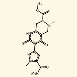 CNC(=O)c1cc(-n2c(=S)[nH]c3c(c2=O)C[C@@H](C)N(C(=O)OC(C)(C)C)C3)nn1C